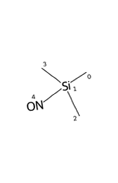 C[Si](C)(C)N=O